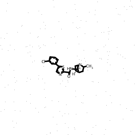 CC1CC2CCN1C[C@@H]2NC(=O)c1ncc(-c2cccc(Cl)c2)s1